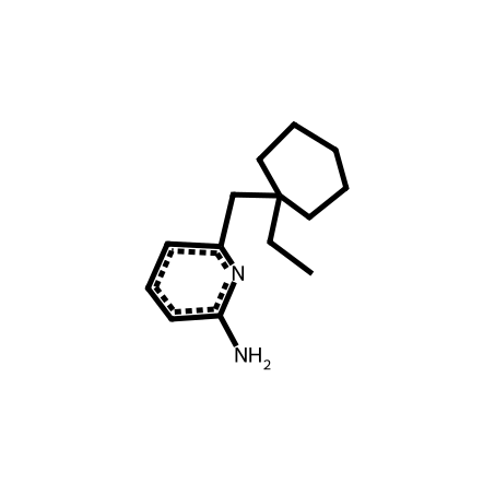 CCC1(Cc2cccc(N)n2)CCCCC1